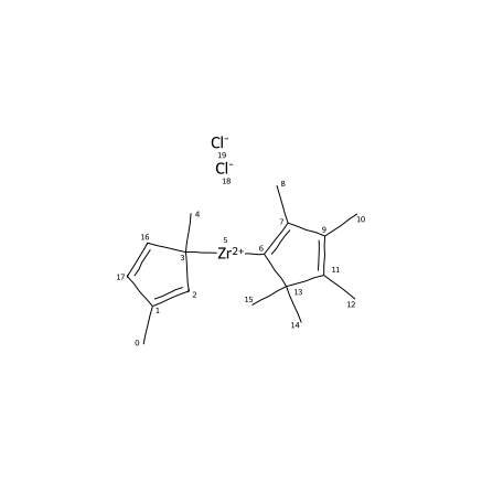 CC1=C[C](C)([Zr+2][C]2=C(C)C(C)=C(C)C2(C)C)C=C1.[Cl-].[Cl-]